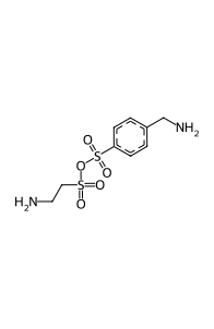 NCCS(=O)(=O)OS(=O)(=O)c1ccc(CN)cc1